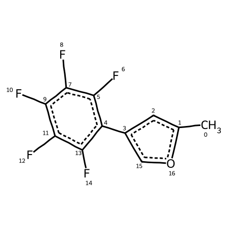 Cc1cc(-c2c(F)c(F)c(F)c(F)c2F)co1